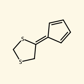 C1=CC(=C2CSCS2)C=C1